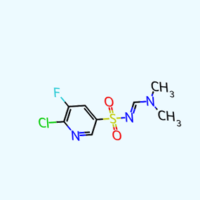 CN(C)C=NS(=O)(=O)c1cnc(Cl)c(F)c1